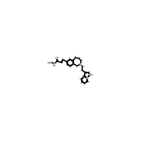 O=C(/C=C/c1ccc2c(c1)CCCN(CCc1cnn3ccccc13)C2)NO